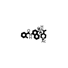 CC(=O)N1CCC(C(C)NS(=O)(=O)c2ccc(NC(=O)c3ccccc3C)c3ccccc23)CC1